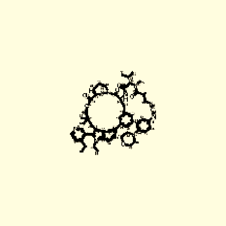 CCc1ccncc1-c1c2c3cc(ccc3n1CC)-c1cccc(c1)C[C@H](NC(=O)[C@H](C(C)C)N(C)C(=O)CCN=C=Nc1ccc(N3CCOCC3)cc1)C(=O)N1CCC[C@H](N1)C(=O)OCC(C)(C)C2